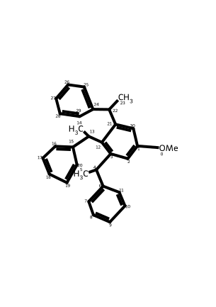 COc1cc(C(C)c2ccccc2)c(C(C)c2ccccc2)c(C(C)c2ccccc2)c1